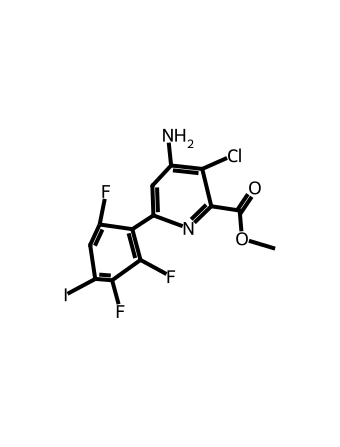 COC(=O)c1nc(-c2c(F)cc(I)c(F)c2F)cc(N)c1Cl